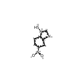 O=[N+]([O-])c1ccc2c(c1)ncn2S